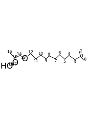 CC(C)CCCCCCCCCCOCC(C)OO